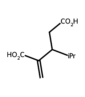 C=C(C(=O)O)C(CC(=O)O)C(C)C